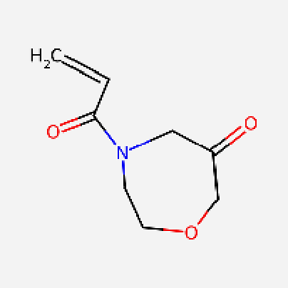 C=CC(=O)N1CCOCC(=O)C1